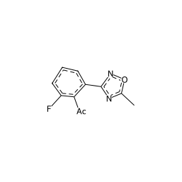 CC(=O)c1c(F)cccc1-c1noc(C)n1